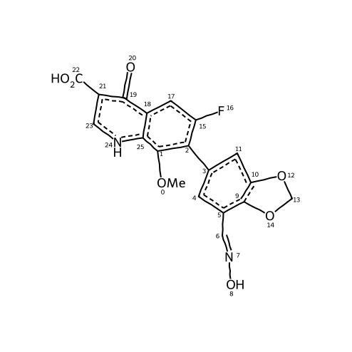 COc1c(-c2cc(/C=N/O)c3c(c2)OCO3)c(F)cc2c(=O)c(C(=O)O)c[nH]c12